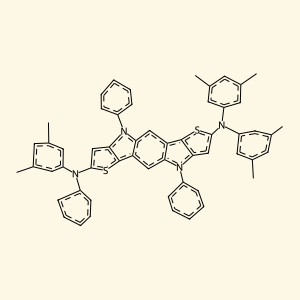 Cc1cc(C)cc(N(c2ccccc2)c2cc3c(s2)c2cc4c(cc2n3-c2ccccc2)c2sc(N(c3cc(C)cc(C)c3)c3cc(C)cc(C)c3)cc2n4-c2ccccc2)c1